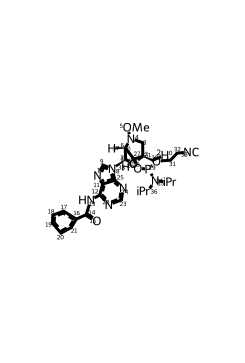 [2H]C[C@@]12CN(OC)[C@@H]([C@H](n3cnc4c(NC(=O)c5ccccc5)ncnc43)O1)[C@@H]2OP(OCC[N+]#[C-])N(C(C)C)C(C)C